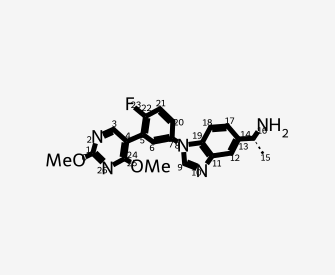 COc1ncc(-c2cc(-n3cnc4cc([C@@H](C)N)ccc43)ccc2F)c(OC)n1